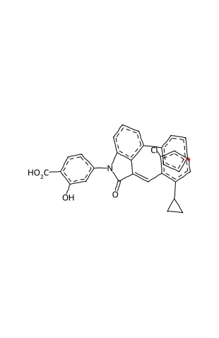 O=C(O)c1ccc(N2C(=O)/C(=C/c3c(Cl)cccc3C3CC3)c3c(-c4ccccc4)cccc32)cc1O